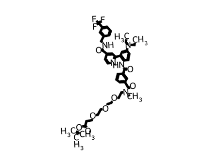 CCN(CC)c1ccc(NC(=O)c2cccc(C(=O)N(C)CCOCCOCCOCCC(=O)OC(C)(C)C)c2)c(-c2cc(C(=O)NCc3cccc(C(F)(F)F)c3)ccn2)c1